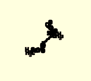 CN(C)c1ccc(C(=O)N2CCN(CCCCCCN3C(=S)N(c4ccc5c(c4)COC5=O)C(=O)C3(C)C)CC2)cc1